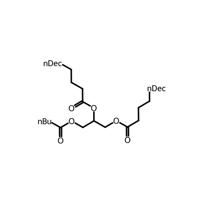 CCCCCCCCCCCCCC(=O)OCC(COC(=O)CCCC)OC(=O)CCCCCCCCCCCCC